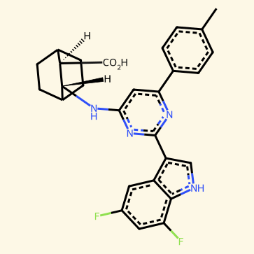 Cc1ccc(-c2cc(N[C@@H]3C4CCC(CC4)[C@H]3C(=O)O)nc(-c3c[nH]c4c(F)cc(F)cc34)n2)cc1